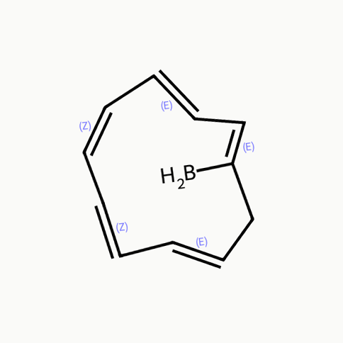 B\C1=C/C=C/C=C\C=C/C=C/C1